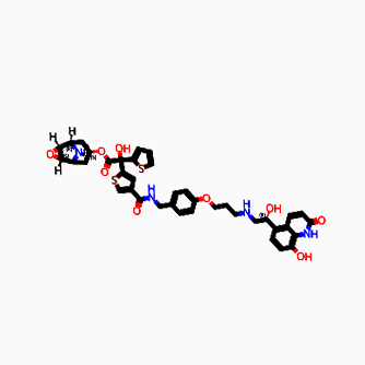 C[N+]1(C)C2C[C@H](OC(=O)C(O)(c3cccs3)c3cc(C(=O)NCc4ccc(OCCCNC[C@H](O)c5ccc(O)c6[nH]c(=O)ccc56)cc4)cs3)C[C@@H]1[C@@H]1O[C@@H]21